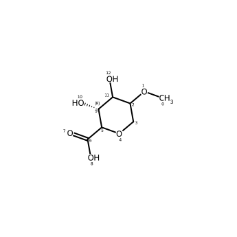 COC1COC(C(=O)O)[C@H](O)C1O